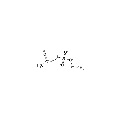 CCOS(=O)(=O)COC(C)=O